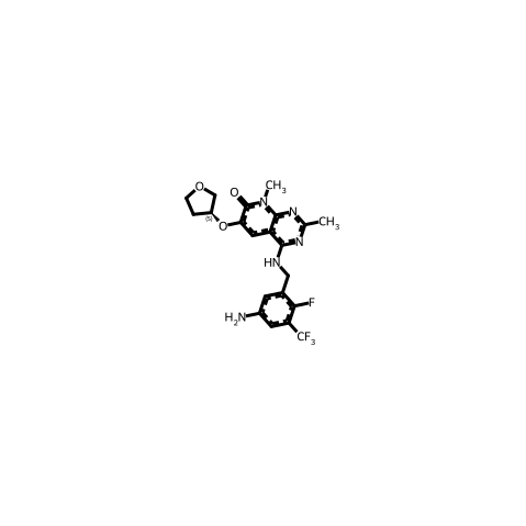 Cc1nc(NCc2cc(N)cc(C(F)(F)F)c2F)c2cc(O[C@H]3CCOC3)c(=O)n(C)c2n1